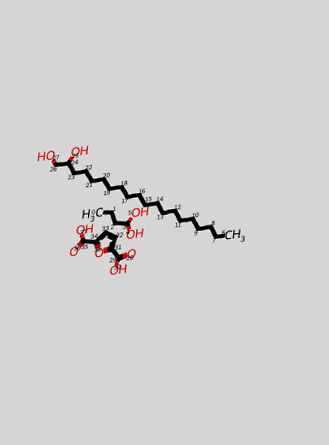 CCCC(O)O.CCCCCCCCCCCCCCCCCCC(O)CO.O=C(O)c1ccc(C(=O)O)o1